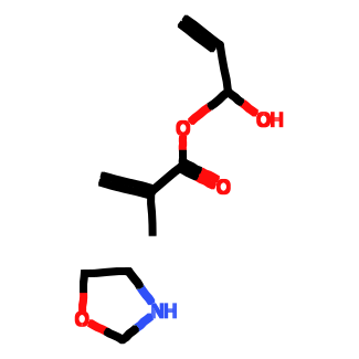 C1COCN1.C=CC(O)OC(=O)C(=C)C